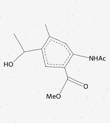 COC(=O)c1cc(C(C)O)c(C)cc1NC(C)=O